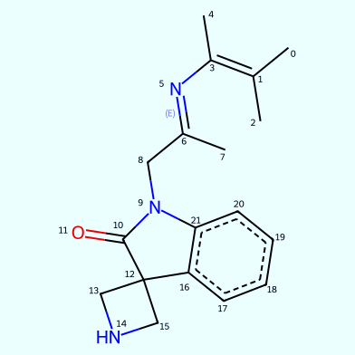 CC(C)=C(C)/N=C(\C)CN1C(=O)C2(CNC2)c2ccccc21